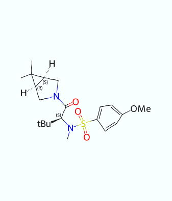 COc1ccc(S(=O)(=O)N(C)[C@H](C(=O)N2C[C@@H]3[C@H](C2)C3(C)C)C(C)(C)C)cc1